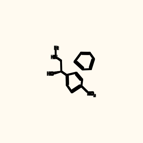 CCNC[C@H](O)c1ccc([N+](=O)[O-])cc1.c1ccccc1